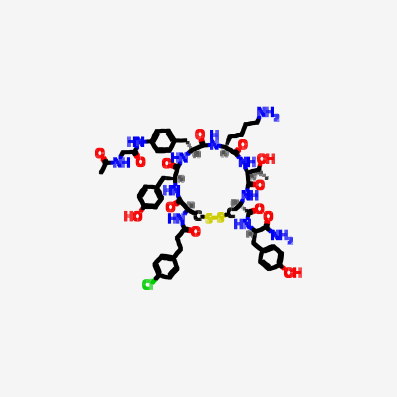 CC(=O)NCC(=O)Nc1ccc(C[C@H]2NC(=O)[C@H](Cc3ccc(O)cc3)NC(=O)[C@H](NC(=O)CCc3ccc(Cl)cc3)CSSC[C@@H](C(=O)N[C@H](Cc3ccc(O)cc3)C(N)=O)NC(=O)[C@H]([C@@H](C)O)NC(=O)[C@H](CCCCN)NC2=O)cc1